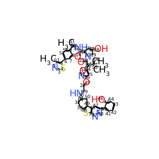 Cc1ncsc1-c1ccc([C@H](C)NC(=O)[C@@H]2C[C@@H](O)CN2C(=O)[C@@H](c2cc(OCCN[C@H]3CCc4sc5nnc(-c6ccccc6O)cc5c4C3)no2)C(C)C)cc1